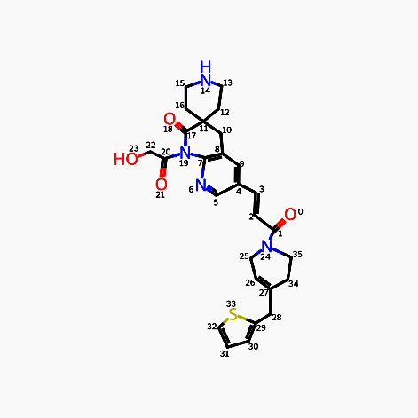 O=C(/C=C/c1cnc2c(c1)CC1(CCNCC1)C(=O)N2C(=O)CO)N1CC=C(Cc2cccs2)CC1